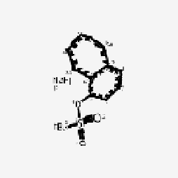 CCCCS(=O)(=O)Oc1cccc2ccccc12.[NaH]